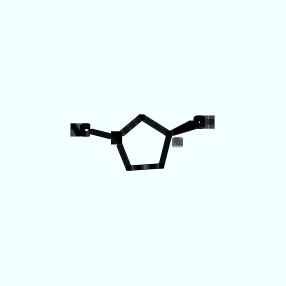 N#CN1CC[C@H](O)C1